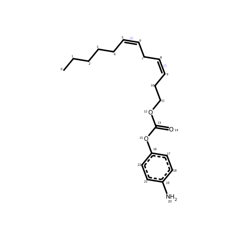 CCCCC/C=C\C/C=C\CCOC(=O)Oc1ccc(N)cc1